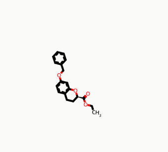 CCOC(=O)[C@H]1CCc2ccc(OCc3ccccc3)cc2O1